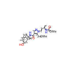 C=C(/C=C/n1ncc(C(=O)N[C@H]2C3CC4CC2C[C@](O)(C4)C3)c1COC)NC(=O)OC